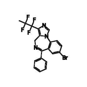 CC(F)(F)C(F)(F)c1ncn2c1CN=C(c1ccccc1)c1cc(Br)ccc1-2